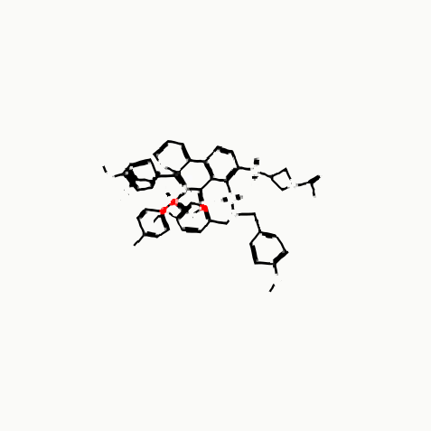 COc1ccc(CN(Cc2ccc(OC)cc2)S(=O)(=O)c2c(S(=O)(=O)C3CN(C(=O)O)C3)ccc(-c3cccn(CC(N)=O)/c3=N\S(=O)(=O)c3ccc(C)cc3)c2-c2nnnn2Cc2ccc(OC)cc2)cc1